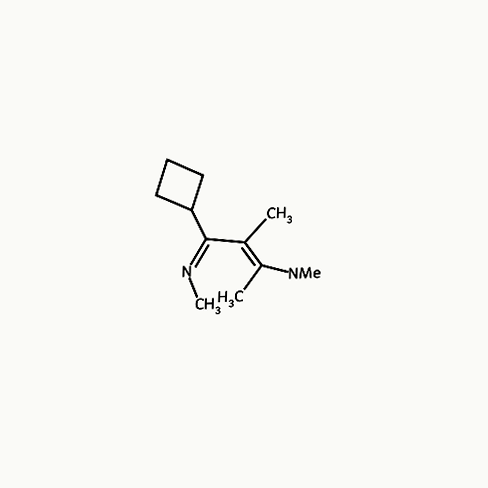 C/N=C(\C(C)=C(/C)NC)C1CCC1